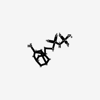 O=S(=O)(NS(=O)(=O)C(F)(F)F)OCC12CC3CC(CC(O)(C3)C1)C2